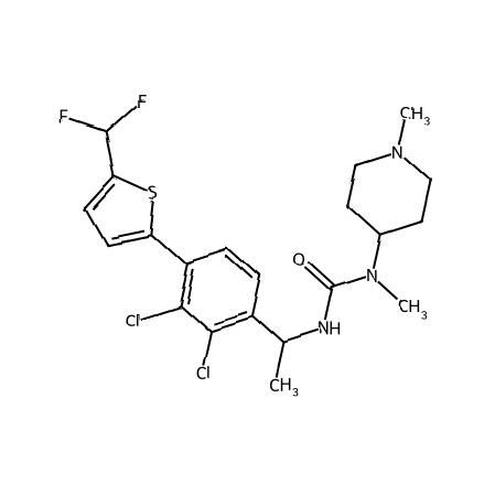 CC(NC(=O)N(C)C1CCN(C)CC1)c1ccc(-c2ccc(C(F)F)s2)c(Cl)c1Cl